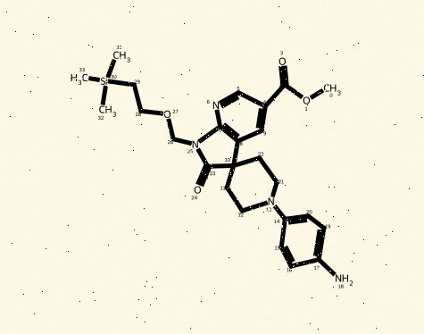 COC(=O)c1cnc2c(c1)C1(CCN(c3ccc(N)cc3)CC1)C(=O)N2COCC[Si](C)(C)C